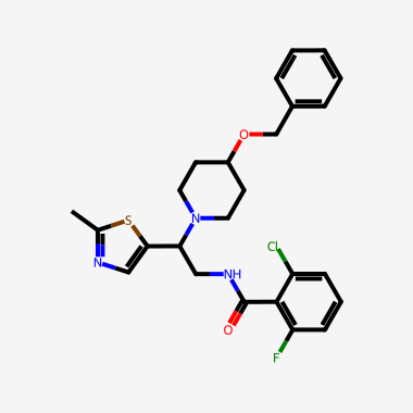 Cc1ncc(C(CNC(=O)c2c(F)cccc2Cl)N2CCC(OCc3ccccc3)CC2)s1